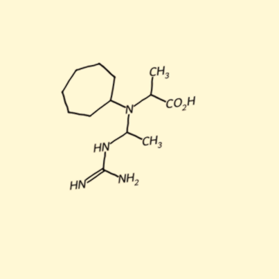 CC(NC(=N)N)N(C1CCCCCC1)C(C)C(=O)O